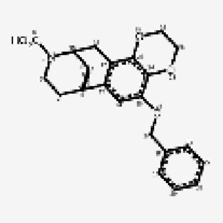 O=C(O)N1CCC23CCCCC2C1Cc1c3cc(OCc2ccccc2)c2c1OCCO2